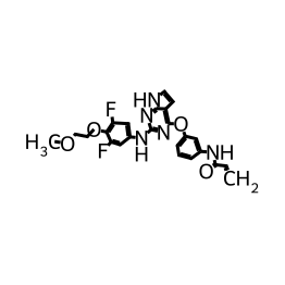 C=CC(=O)Nc1cccc(Oc2nc(Nc3cc(F)c(OCCOC)c(F)c3)nc3[nH]ccc23)c1